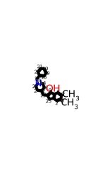 Cc1cc2c(cc1C)C(O)=C(CC1CCN(Cc3ccccc3)CC1)C2